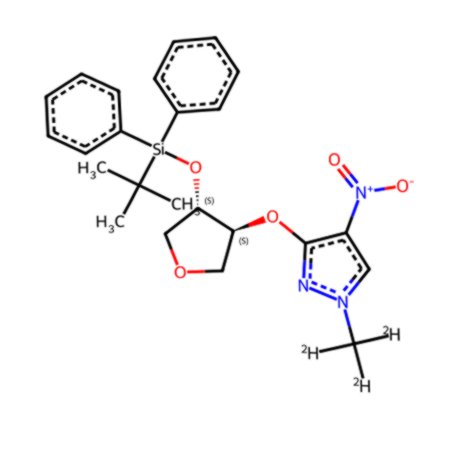 [2H]C([2H])([2H])n1cc([N+](=O)[O-])c(O[C@H]2COC[C@@H]2O[Si](c2ccccc2)(c2ccccc2)C(C)(C)C)n1